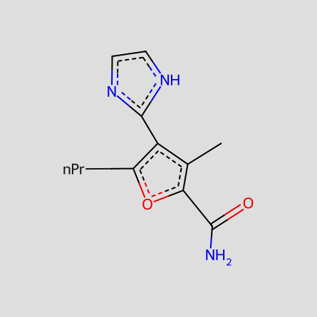 CCCc1oc(C(N)=O)c(C)c1-c1ncc[nH]1